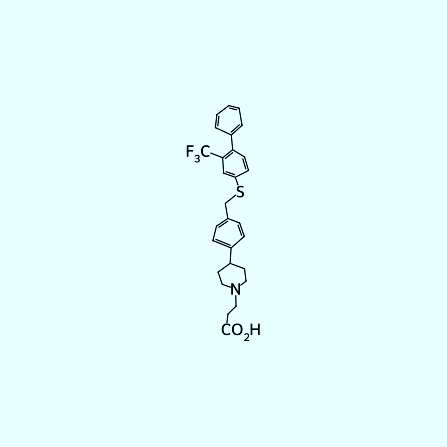 O=C(O)CCN1CCC(c2ccc(CSc3ccc(-c4ccccc4)c(C(F)(F)F)c3)cc2)CC1